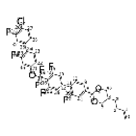 C=CCCC1COC(c2ccc(-c3cc(F)c(C(F)(F)Oc4ccc(-c5ccc(Cl)c(F)c5)c(F)c4)c(F)c3)c(F)c2)OC1